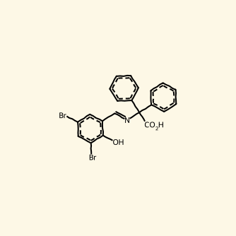 O=C(O)C(/N=C/c1cc(Br)cc(Br)c1O)(c1ccccc1)c1ccccc1